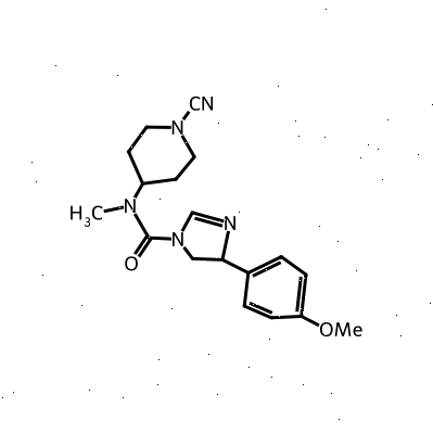 COc1ccc(C2CN(C(=O)N(C)C3CCN(C#N)CC3)C=N2)cc1